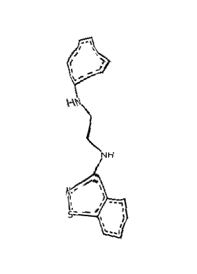 c1ccc(NCCNc2nsc3ccccc23)cc1